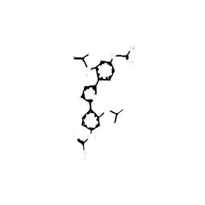 CC(C)Oc1cc(NC(=N)N)ccc1-c1ccc(-c2ccc(NC(=N)N)cc2OC(C)C)o1